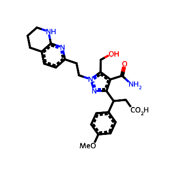 COc1ccc(C(CC(=O)O)c2nn(CCc3ccc4c(n3)NCCC4)c(CO)c2C(N)=O)cc1